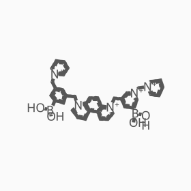 OB(O)c1cc(C[n+]2ccccc2)cc(C[n+]2cccc3c4ccc[n+](Cc5cc(B(O)O)c[n+](C[n+]6ccccc6)c5)c4ccc32)c1